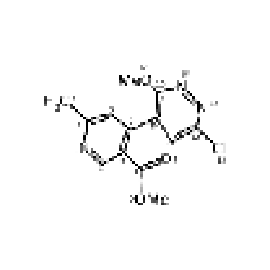 COC(=O)c1cnc(C)cc1-c1cc(Cl)nnc1OC